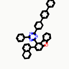 C1=Cc2c(cccc2-c2ccc3oc4ccccc4c3c2-c2nc(C3=CCC(c4ccc(-c5ccccc5)cc4)C=C3)nc(-c3ccccc3)n2)CC1